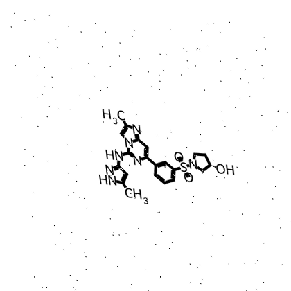 Cc1cn2c(Nc3cc(C)[nH]n3)nc(-c3cccc(S(=O)(=O)N4CC[C@H](O)C4)c3)cc2n1